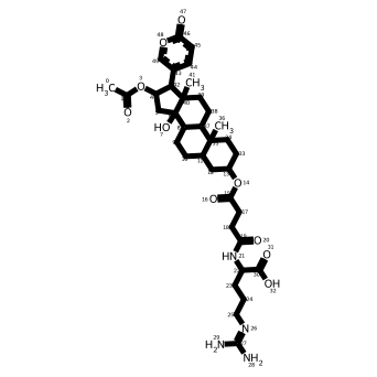 CC(=O)OC1CC2(O)C3CCC4CC(OC(=O)CCC(=O)NC(CCCN=C(N)N)C(=O)O)CCC4(C)C3CCC2(C)C1c1ccc(=O)oc1